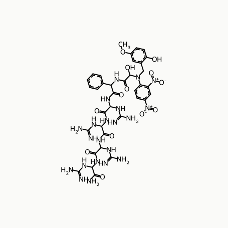 COc1ccc(O)c(CN(c2ccc([N+](=O)[O-])cc2[N+](=O)[O-])C(O)C(=O)NC(C(=O)NC(NC(=N)N)C(=O)NC(NC(=N)N)C(=O)NC(NC(=N)N)C(=O)NC(NC(=N)N)C(N)=O)c2ccccc2)c1